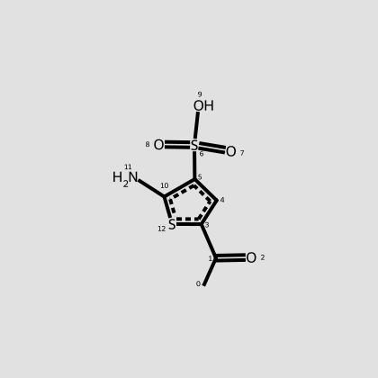 CC(=O)c1cc(S(=O)(=O)O)c(N)s1